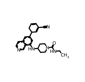 CCNC(=O)N1CCC(Nc2cc(C3C=C(C#N)C=CC3)cc3ccncc23)CC1